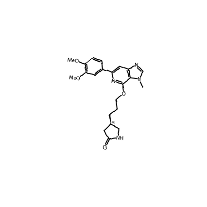 COc1ccc(-c2cc3ncn(C)c3c(OCCC[C@H]3CNC(=O)C3)n2)cc1OC